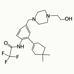 CC1(C)CC=C(c2cc(CN3CCN(CCO)CC3)ccc2NC(=O)C(F)(F)F)CC1